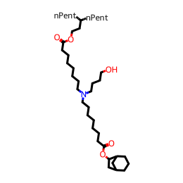 CCCCCC(CCCCC)CCOC(=O)CCCCCCCN(CCCCO)CCCCCCCC(=O)OC1CC2CCCC1C2